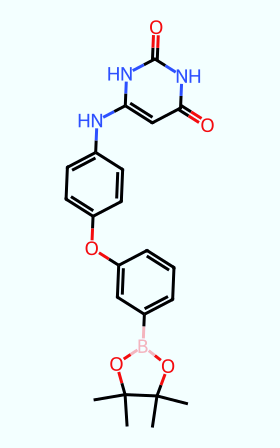 CC1(C)OB(c2cccc(Oc3ccc(Nc4cc(=O)[nH]c(=O)[nH]4)cc3)c2)OC1(C)C